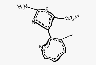 CCOC(=O)c1sc(N)nc1-c1ncccc1C